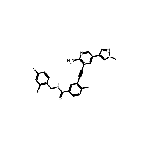 Cc1ccc(C(=O)NCc2ccc(F)cc2F)cc1C#Cc1cc(-c2cnn(C)c2)cnc1N